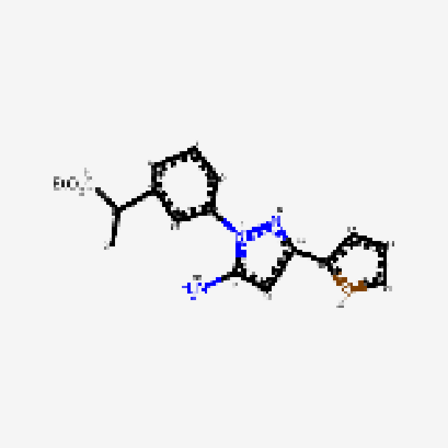 CCOC(=O)C(C)c1cccc(-n2nc(-c3cccs3)cc2N)c1